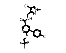 Cn1cc(Cl)c(CNC(=O)c2cnc(OCC(F)(F)F)c(-c3ccc(Cl)cc3)c2)n1